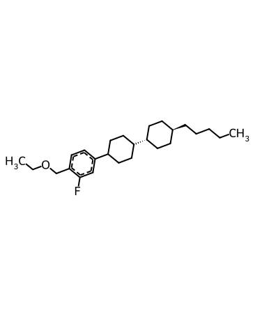 CCCCC[C@H]1CC[C@H](C2CCC(c3ccc(COCC)c(F)c3)CC2)CC1